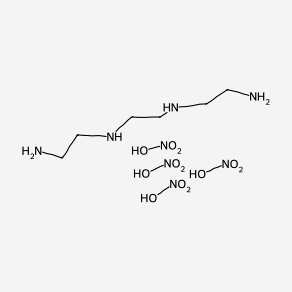 NCCNCCNCCN.O=[N+]([O-])O.O=[N+]([O-])O.O=[N+]([O-])O.O=[N+]([O-])O